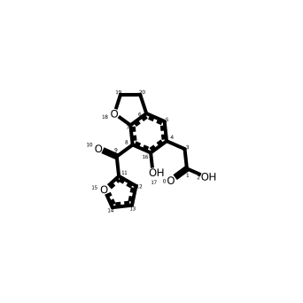 O=C(O)Cc1cc2c(c(C(=O)c3ccco3)c1O)OCC2